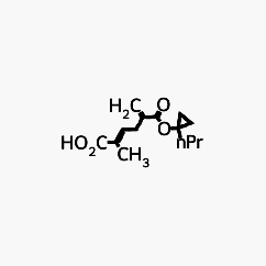 C=C(CC=C(C)C(=O)O)C(=O)OC1(CCC)CC1